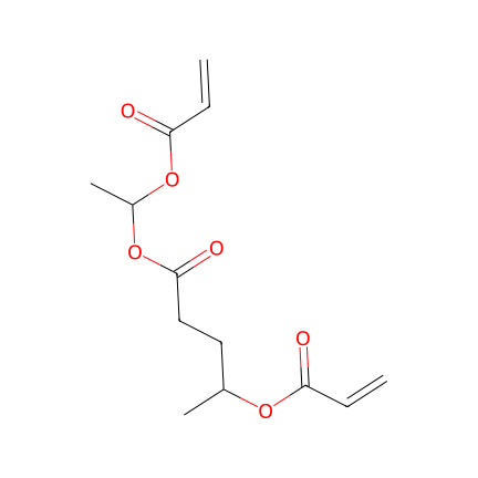 C=CC(=O)OC(C)CCC(=O)OC(C)OC(=O)C=C